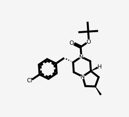 C[C@@H]1C[C@H]2CN(C(=O)OC(C)(C)C)[C@@H](Cc3ccc(Cl)cc3)CN2C1